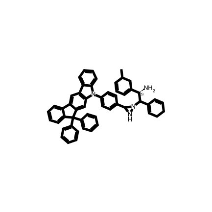 CC1C=CC=C([C@H](N)C(C2=CCCC=C2)N2NC2c2ccc(-n3c4ccccc4c4cc5c(cc43)C(c3ccccc3)(c3ccccc3)c3ccccc3-5)cc2)C1